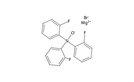 [Br-].[Mg+2].[O-][Si](c1ccccc1F)(c1ccccc1F)c1ccccc1F